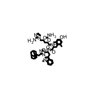 Cc1cc(O)cc(C)c1CC(NC(=O)C(CCCn1ccnc1N)OC(N)=O)C(=O)NC(Cc1cn(C)c2ccccc12)c1nc(CC23CC4CC(CC(C4)C2)C3)no1